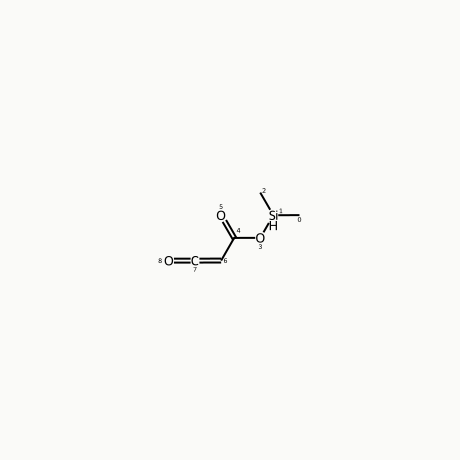 C[SiH](C)OC(=O)C=C=O